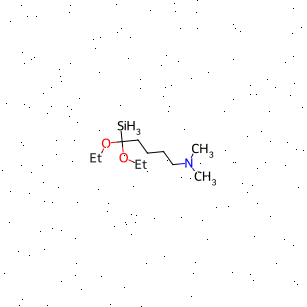 CCOC([SiH3])(CCCCN(C)C)OCC